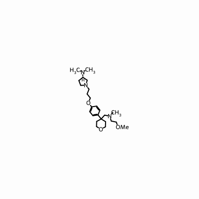 COCCN(C)CC1(c2ccc(OCCCN3CC[C@@H](N(C)C)C3)cc2)CCOCC1